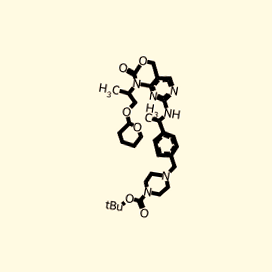 CC(Nc1ncc2c(n1)N(C(C)COC1CCCCO1)C(=O)OC2)c1ccc(CN2CCN(C(=O)OC(C)(C)C)CC2)cc1